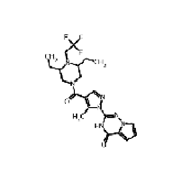 CCC1CN(C(=O)c2cnn(-c3nn4cccc4c(=O)[nH]3)c2C)CC(CC)N1CC(F)(F)F